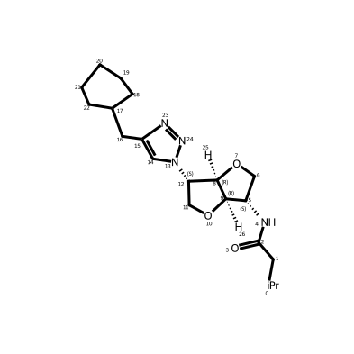 CC(C)CC(=O)N[C@H]1CO[C@H]2[C@@H]1OC[C@@H]2n1cc(CC2CCCCC2)nn1